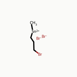 [Br-].[Br-].[CH3][Sn+2][CH2]CCBr